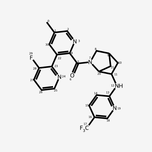 Cc1cnc(C(=O)N2CC3CC(Nc4ccc(C(F)(F)F)cn4)C2C3)c(-c2ncccc2F)c1